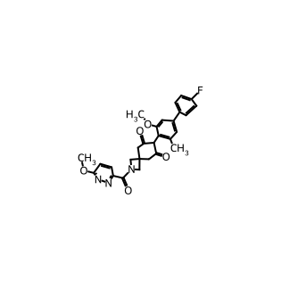 COc1ccc(C(=O)N2CC3(CC(=O)C(c4c(C)cc(-c5ccc(F)cc5)cc4OC)C(=O)C3)C2)nn1